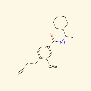 C#CCCc1ccc(C(=O)NC(C)C2CCCCC2)cc1OC